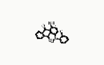 Nc1ccc(N(Cl)c2ccccc2Cl)c2c1C(=O)c1ccccc1C2=O